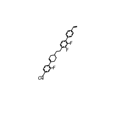 C=Cc1ccc(-c2ccc(CCC3CC=C(c4ccc(C5CO5)cc4F)CC3)c(F)c2F)cc1